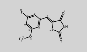 O=C1NC(=O)C(=Cc2cc(F)cc(OC(F)(F)F)c2)S1